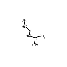 CCC[C@@H](C)NCNCC